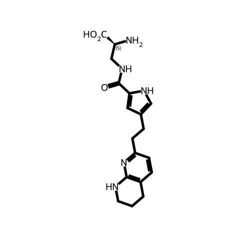 N[C@@H](CNC(=O)c1cc(CCc2ccc3c(n2)NCCC3)c[nH]1)C(=O)O